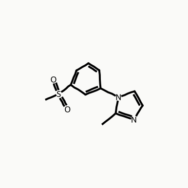 Cc1nccn1-c1cccc(S(C)(=O)=O)c1